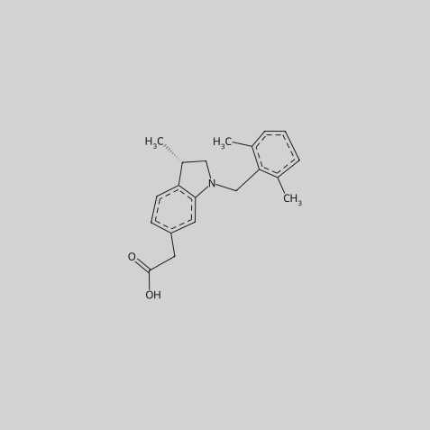 Cc1cccc(C)c1CN1C[C@@H](C)c2ccc(CC(=O)O)cc21